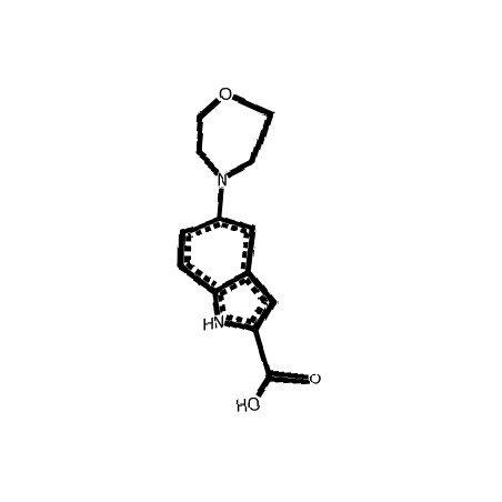 O=C(O)c1cc2cc(N3CCOCC3)ccc2[nH]1